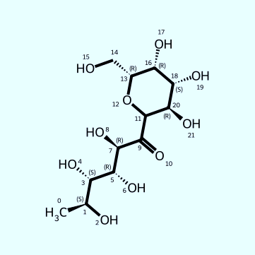 C[C@H](O)[C@H](O)[C@@H](O)[C@@H](O)C(=O)C1O[C@H](CO)[C@H](O)[C@H](O)[C@H]1O